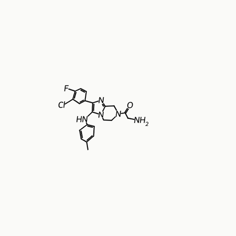 Cc1ccc(Nc2c(-c3ccc(F)c(Cl)c3)nc3n2CCN(C(=O)CN)C3)cc1